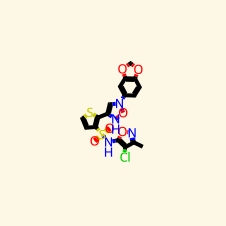 Cc1noc(NS(=O)(=O)c2ccsc2C2=CN(c3ccc4c(c3)OCO4)ON2)c1Cl